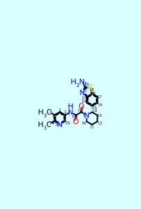 Cc1cc(NC(=O)C(=O)N2CCCC[C@H]2c2ccc3sc(N)nc3c2)cnc1C